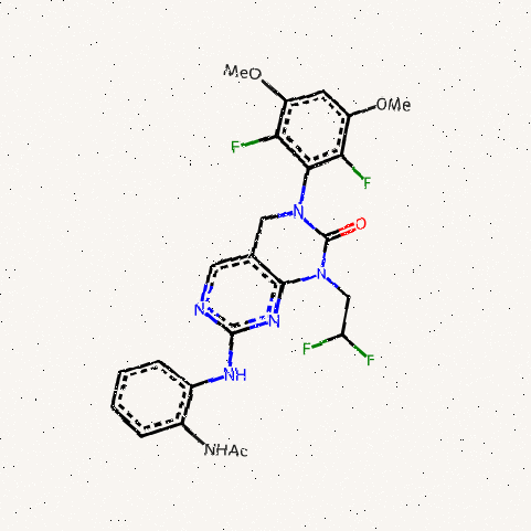 COc1cc(OC)c(F)c(N2Cc3cnc(Nc4ccccc4NC(C)=O)nc3N(CC(F)F)C2=O)c1F